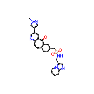 Cn1cc(-c2cnc3ccc4ccc(CS(=O)(=O)NCc5cnc6ccccn56)cc4c(=O)c3c2)cn1